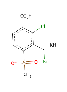 CS(=O)(=O)c1ccc(C(=O)O)c(Cl)c1CBr.[KH]